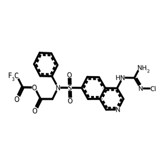 NC(=NCl)Nc1cncc2cc(S(=O)(=O)N(CC(=O)OC(=O)C(F)(F)F)c3ccccc3)ccc12